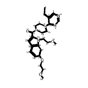 CCc1cncnc1N1CCN(C(=O)c2cc3ccc(OCCOC)cc3n2CCOC)CC1